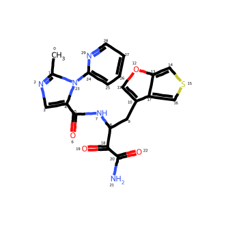 Cc1ncc(C(=O)NC(Cc2coc3cscc23)C(=O)C(N)=O)n1-c1ccccn1